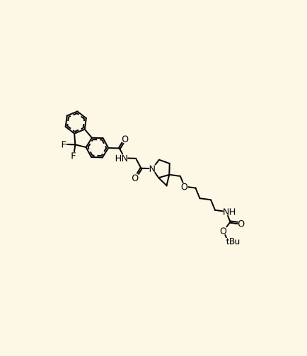 CC(C)(C)OC(=O)NCCCCOCC12CCN(C(=O)CNC(=O)c3ccc4c(c3)-c3ccccc3C4(F)F)C1C2